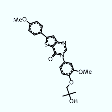 COc1ccc(-c2cc3ncn(-c4ccc(OCC(C)(C)O)c(OC)c4)c(=O)c3s2)cc1